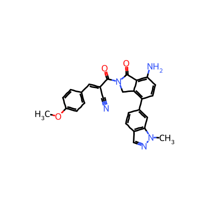 COc1ccc(/C=C(\C#N)C(=O)N2Cc3c(-c4ccc5cnn(C)c5c4)ccc(N)c3C2=O)cc1